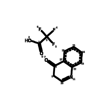 O=C(O)C(F)(F)F.O=C1CC=Nc2ccccc21